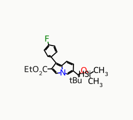 CCOC(=O)c1cn2cc(C(O[SiH](C)C)C(C)(C)C)ccc2c1-c1ccc(F)cc1